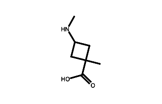 CNC1CC(C)(C(=O)O)C1